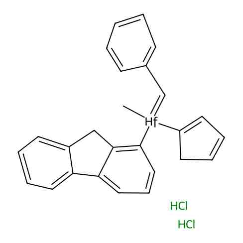 Cl.Cl.[CH3][Hf](=[CH]c1ccccc1)([C]1=CC=CC1)[c]1cccc2c1Cc1ccccc1-2